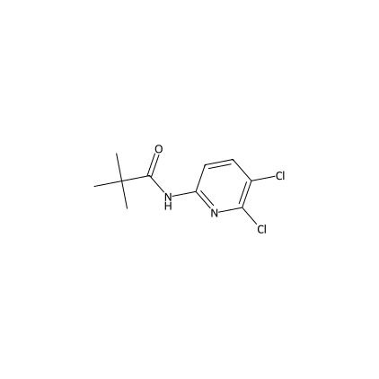 CC(C)(C)C(=O)Nc1ccc(Cl)c(Cl)n1